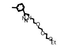 CCOCCOCCOCCn1cc(-c2cccc(C)c2)nn1